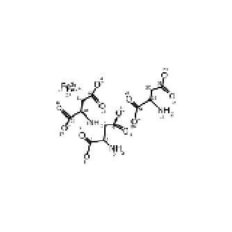 NC(CC(=O)[O-])C(=O)[O-].NC(CC(=O)[O-])C(=O)[O-].NC(CC(=O)[O-])C(=O)[O-].[Fe+3].[Fe+3]